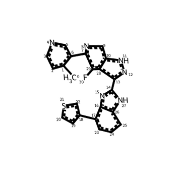 Cc1ccncc1-c1ncc2[nH]nc(-c3nc4c(-c5ccsc5)cccc4[nH]3)c2c1F